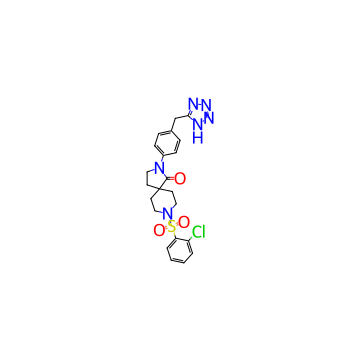 O=C1N(c2ccc(Cc3nnn[nH]3)cc2)CCC12CCN(S(=O)(=O)c1ccccc1Cl)CC2